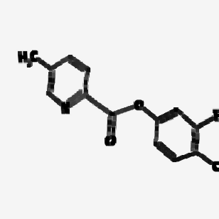 Cc1ccc(C(=O)Oc2ccc(C#N)c(F)c2)nc1